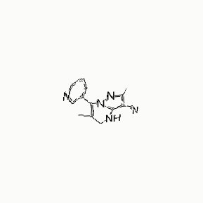 CC1=C(c2cccnc2)n2nc(C)c(C#N)c2NC1